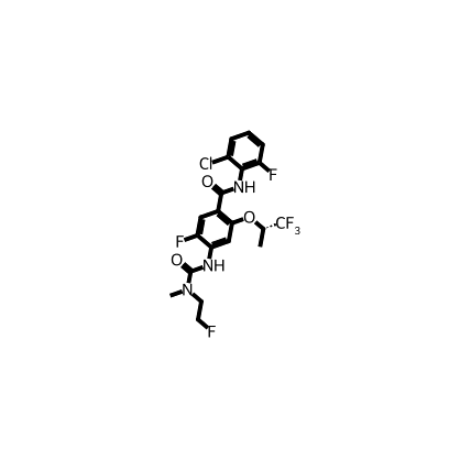 C[C@H](Oc1cc(NC(=O)N(C)CCF)c(F)cc1C(=O)Nc1c(F)cccc1Cl)C(F)(F)F